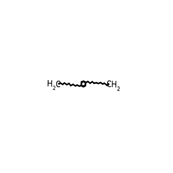 C=CCCCCCCCCCc1ccc(CCCCCCCCCC=C)cc1